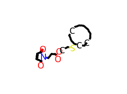 O=C(CCN1C(=O)C=CC1=O)OCCSC1CCCCCCCCCCCC1